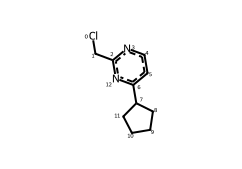 ClCc1nccc(C2CCCC2)n1